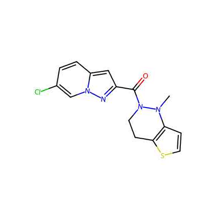 CN1c2ccsc2CCN1C(=O)c1cc2ccc(Cl)cn2n1